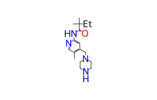 CCC(C)(C)C(=O)Nc1cc(CN2CCNCC2)c(C)cn1